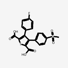 CS(=O)(=O)c1ccc(-c2c(C(=O)O)sc(C(=O)O)c2-c2ccc(F)cc2)cc1